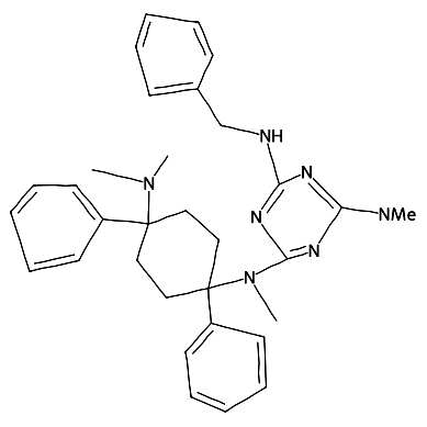 CNc1nc(NCc2ccccc2)nc(N(C)C2(c3ccccc3)CCC(c3ccccc3)(N(C)C)CC2)n1